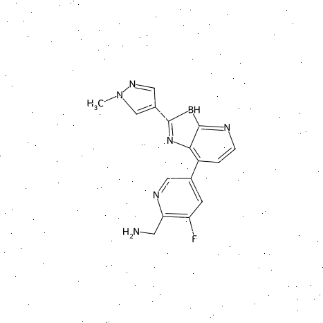 Cn1cc(C2=Nc3c(-c4cnc(CN)c(F)c4)ccnc3B2)cn1